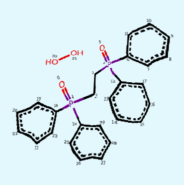 O=P(CCP(=O)(c1ccccc1)c1ccccc1)(c1ccccc1)c1ccccc1.OO